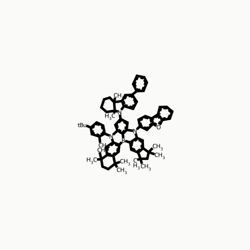 Cc1cc(C(C)(C)C)ccc1N1c2cc3c(cc2B2c4cc5c(cc4N(c4ccc6c(c4)oc4ccccc46)c4cc(N6c7ccc(-c8ccccc8)cc7C7(C)CCCCC67C)cc1c42)C(C)(C)CC5(C)C)C(C)(C)CCC3(C)C